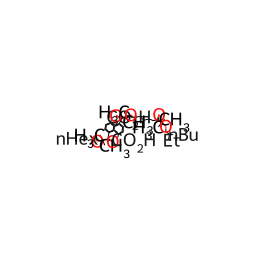 CCCCCCOC(C)(C)C(=O)c1ccc(C(=O)O)c2c(C(=O)C(C)(C)OCCCCCC(=O)C(C)(C)OCC(CC)CCCC)ccc(C(=O)O)c12